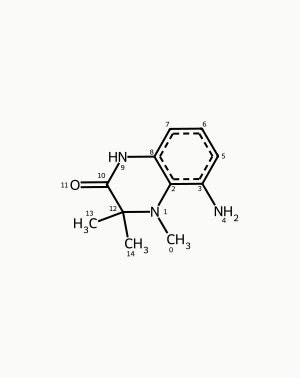 CN1c2c(N)cccc2NC(=O)C1(C)C